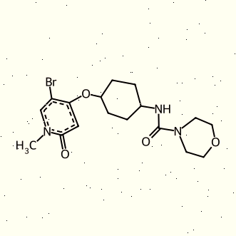 Cn1cc(Br)c(OC2CCC(NC(=O)N3CCOCC3)CC2)cc1=O